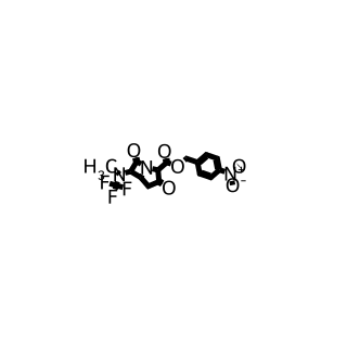 CN(C1C(=O)N2C(C(=O)OCc3ccc([N+](=O)[O-])cc3)C(=O)CC12)C(F)(F)F